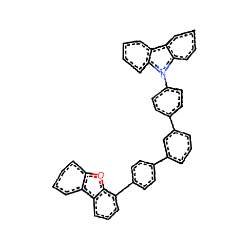 c1cc(-c2ccc(-c3cccc4c3oc3ccccc34)cc2)cc(-c2ccc(-n3c4ccccc4c4ccccc43)cc2)c1